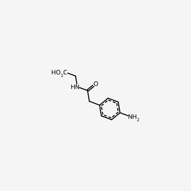 Nc1ccc(CC(=O)NCC(=O)O)cc1